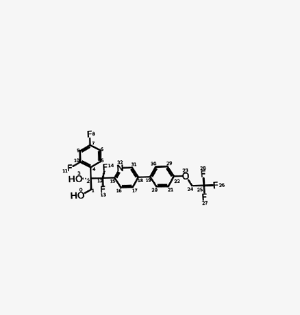 OC[C@@](O)(c1ccc(F)cc1F)C(F)(F)c1ccc(-c2ccc(OCC(F)(F)F)cc2)cn1